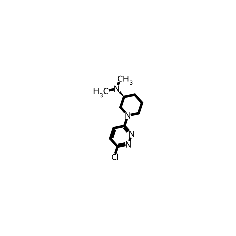 CN(C)[C@H]1CCCN(c2ccc(Cl)nn2)C1